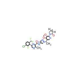 Cc1ncc(-c2c(C(F)F)ccc(Cl)c2F)nc1C(=O)Nc1cnn([C@H](C)c2cnc(N3C[C@H]4C[C@H]4C3=O)c3c2OCO3)c1